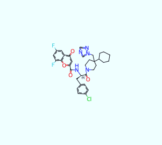 O=C(N[C@H](Cc1ccc(Cl)cc1)C(=O)N1CCC(Cn2cncn2)(C2CCCCC2)CC1)c1cc(=O)c2cc(F)cc(F)c2o1